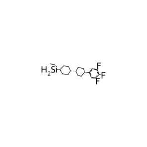 CC[SiH2]C1CCC([C@H]2CC[C@H](c3cc(F)c(F)c(F)c3)CC2)CC1